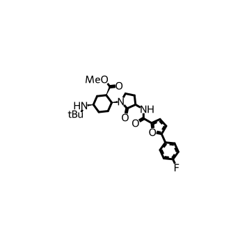 COC(=O)[C@@H]1C[C@H](NC(C)(C)C)CC[C@@H]1N1CCC(NC(=O)c2ccc(-c3ccc(F)cc3)o2)C1=O